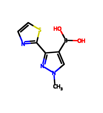 Cn1cc(B(O)O)c(-c2nccs2)n1